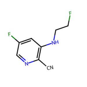 N#Cc1ncc(F)cc1NCCF